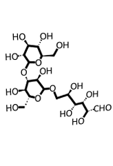 O=C[C@H](O)[C@@H](O)[C@H](O)[C@H](O)COC1O[C@H](CO)[C@@H](O)[C@H](OC2O[C@H](CO)[C@@H](O)[C@H](O)[C@H]2O)[C@H]1O